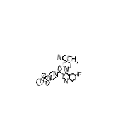 CC1(C#N)CCN(c2c(C(=O)N3CCN(S(=O)(=O)N4CCCC4)CC3)cnc3ccc(F)cc23)CC1